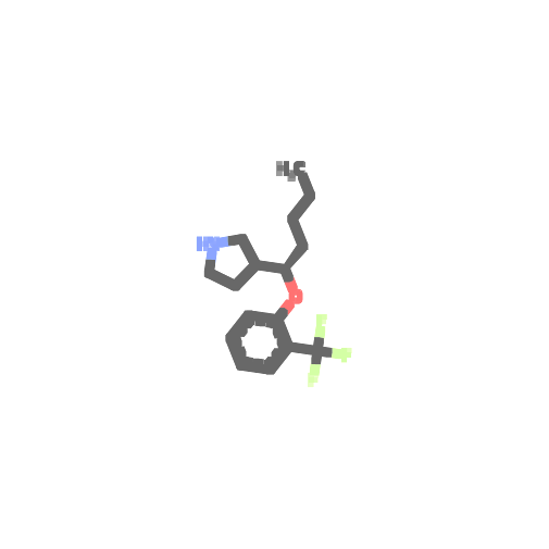 CCCC[C@@H](Oc1ccccc1C(F)(F)F)C1CCNC1